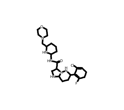 O=C(NC1CCCC(CN2CCOCC2)N1)C1CNC2CCC(C3=C(F)CCC=C3Cl)NN21